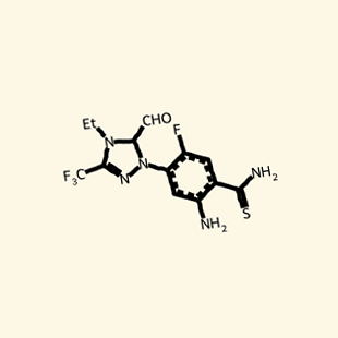 CCN1C(C(F)(F)F)=NN(c2cc(N)c(C(N)=S)cc2F)C1C=O